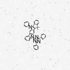 CC1(C)c2ccccc2-c2c1c1cc3c(cc1n2-c1ccccc1)c1ccccc1n3-c1nc(-c2ccccc2)nc(-c2ccccc2)n1